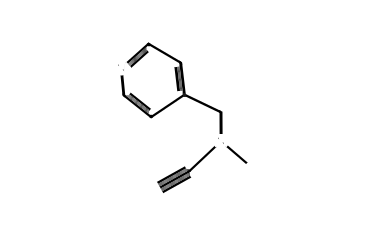 C#CN(C)Cc1ccncc1